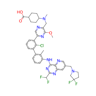 COc1nc(-c2cccc(-c3cccc(Nc4nc(C(F)F)nc5cc(CN6CCC(F)(F)C6)cnc45)c3C)c2Cl)cnc1CN(C)C1CCC(C(=O)O)CC1